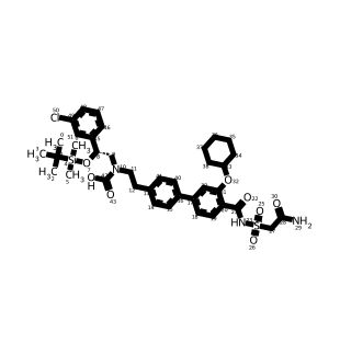 CC(C)(C)[Si](C)(C)O[C@@H](CN(CCc1ccc(-c2ccc(C(=O)NS(=O)(=O)CC(N)=O)c(OC3CCCCC3)c2)cc1)C(=O)O)c1cccc(Cl)c1